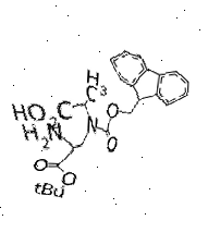 CC(C(=O)O)N(CC(N)C(=O)OC(C)(C)C)C(=O)OCC1c2ccccc2-c2ccccc21